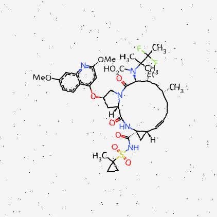 CC[C@@H]1C[C@H](C)CC/C=C\[C@@H]2C[C@@]2(C(=O)NS(=O)(=O)C2(C)CC2)NC(=O)[C@@H]2C[C@@H](Oc3cc(OC)nc4cc(OC)ccc34)CN2C(=O)[C@H]1N(C(=O)O)C(C)(C)C(C)(F)F